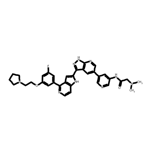 CN(C)CC(=O)Nc1cncc(-c2cnc3[nH]nc(-c4cc5c(-c6cc(F)cc(OCCN7CCCC7)c6)nccc5[nH]4)c3c2)c1